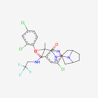 CC(C)(Oc1ccc(Cl)cc1Cl)C(=O)NC1CC2CCC(C1)N2c1ncc(C(=O)NCC(F)(F)F)cc1Cl